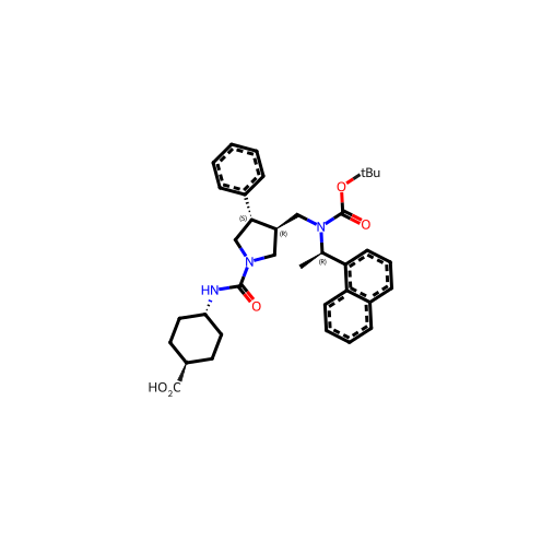 C[C@H](c1cccc2ccccc12)N(C[C@H]1CN(C(=O)N[C@H]2CC[C@H](C(=O)O)CC2)C[C@@H]1c1ccccc1)C(=O)OC(C)(C)C